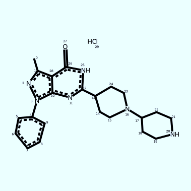 Cc1nn(-c2ccccc2)c2nc(C3CCN(C4CCNCC4)CC3)[nH]c(=O)c12.Cl